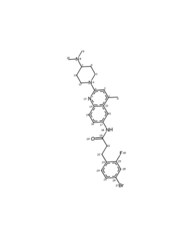 Cc1cc(N2CCC(N(C)C)CC2)nc2ccc(NC(=O)CCc3ccc(Br)cc3F)cc12